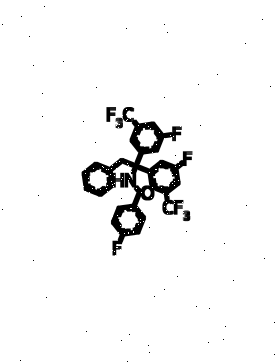 O=C(NC(Cc1ccccc1)(c1cc(F)cc(C(F)(F)F)c1)c1cc(F)cc(C(F)(F)F)c1)c1ccc(F)cc1